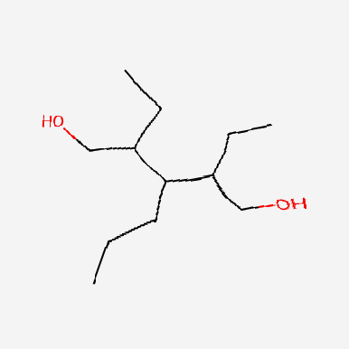 CCCC(C(CC)CO)C(CC)CO